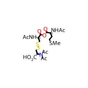 CSCC[C@H](NC(C)=O)C(=O)OC(=O)[C@H](CSSC[C@@H](C(=O)O)N(C(C)=O)C(C)=O)NC(C)=O